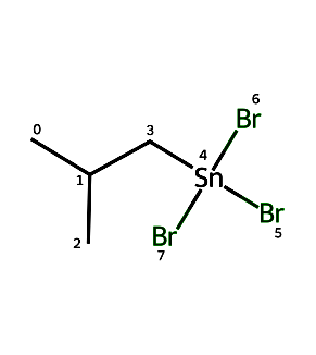 CC(C)[CH2][Sn]([Br])([Br])[Br]